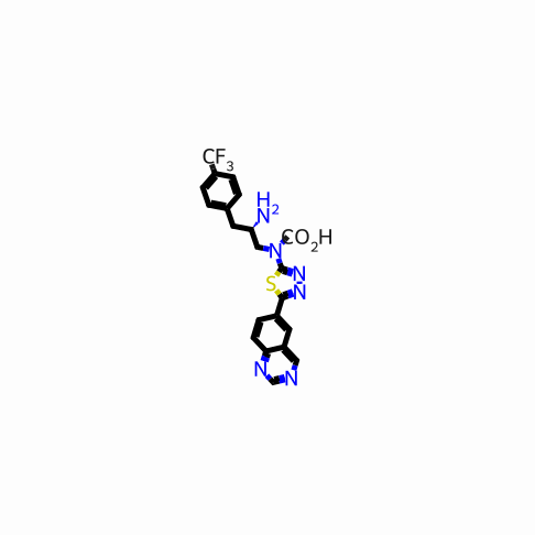 N[C@@H](Cc1ccc(C(F)(F)F)cc1)CN(C(=O)O)c1nnc(-c2ccc3ncncc3c2)s1